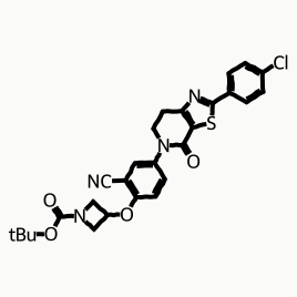 CC(C)(C)OC(=O)N1CC(Oc2ccc(N3CCc4nc(-c5ccc(Cl)cc5)sc4C3=O)cc2C#N)C1